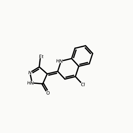 CCC1=NNC(=O)C1=C1C=C(Cl)c2ccccc2N1